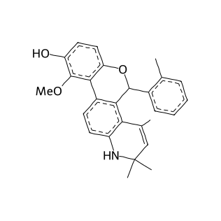 COc1c(O)ccc2c1-c1ccc3c(c1C(c1ccccc1C)O2)C(C)=CC(C)(C)N3